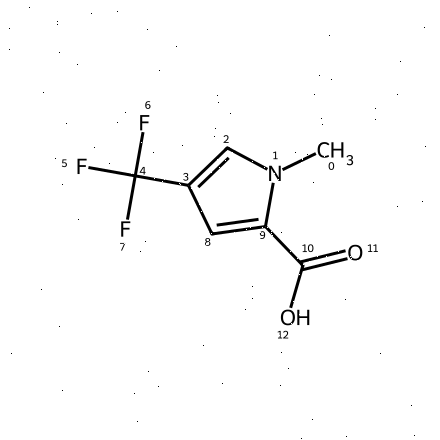 Cn1cc(C(F)(F)F)cc1C(=O)O